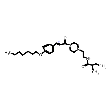 CCCCCCCOc1ccc(/C=C/C(=O)N2CCN(CCNC(=O)C(C)CC)CC2)cc1